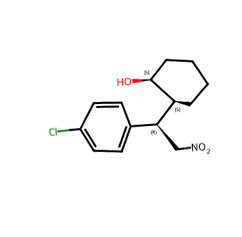 O=[N+]([O-])C[C@@H](c1ccc(Cl)cc1)[C@@H]1CCCC[C@@H]1O